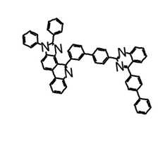 c1ccc(-c2ccc(-c3nc(-c4ccc(-c5cccc(-c6nc7ccccc7c7ccc8c(nc(-c9ccccc9)n8-c8ccccc8)c67)c5)cc4)nc4ccccc34)cc2)cc1